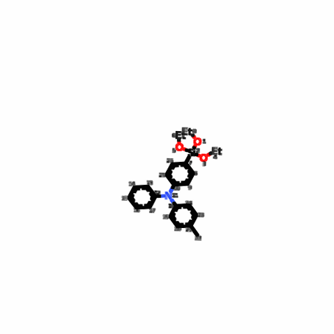 CCO[Si](OCC)(OCC)c1ccc(N(c2ccccc2)c2ccc(C)cc2)cc1